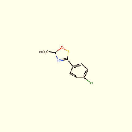 CCOC(=O)C1N=C(c2ccc(Cl)cc2)SO1